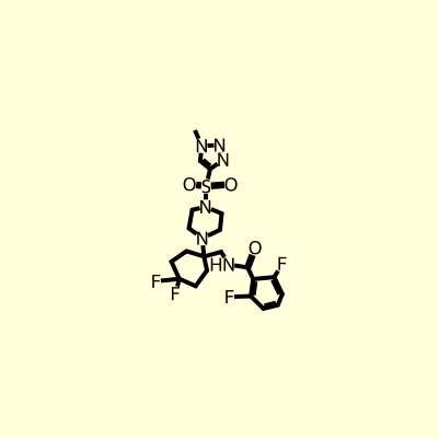 Cn1cc(S(=O)(=O)N2CCN(C3(CNC(=O)c4c(F)cccc4F)CCC(F)(F)CC3)CC2)nn1